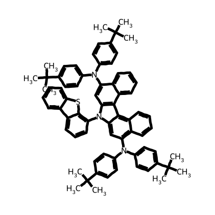 CC(C)(C)c1ccc(N(c2ccc(C(C)(C)C)cc2)c2cc3c(c4ccccc24)c2c4ccccc4c(N(c4ccc(C(C)(C)C)cc4)c4ccc(C(C)(C)C)cc4)cc2n3-c2cccc3c2sc2ccccc23)cc1